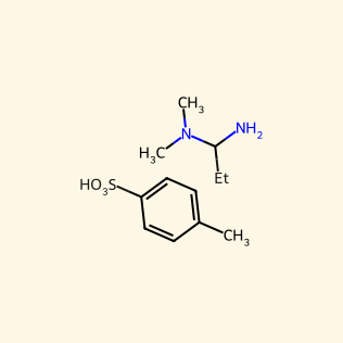 CCC(N)N(C)C.Cc1ccc(S(=O)(=O)O)cc1